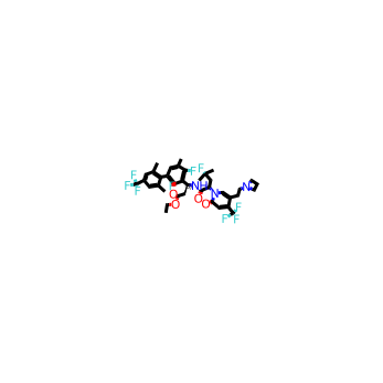 CCOC(=O)C[C@H](NC(=O)C(CC(C)(C)F)n1cc(CCN2CCC2)c(C(F)(F)F)cc1=O)c1c(F)c(C)cc(-c2c(C)cc(C(F)(F)F)cc2C)c1F